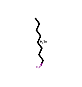 CCCCCCCCP.[TeH2]